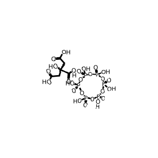 O=C(O)CC(O)(CC(=O)O)C(=O)O.O=P1(O)OP(=O)(O)OP(=O)(O)OP(=O)(O)OP(=O)(O)OP(=O)(O)O1